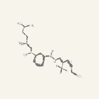 C=C/C=C\C(=C\N[S+]([O-])c1cccc(N(N)/C=C(\N)CCC(C)C)c1)C(F)(F)F